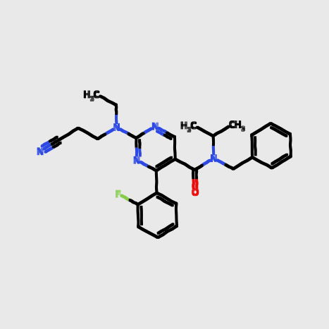 CCN(CCC#N)c1ncc(C(=O)N(Cc2ccccc2)C(C)C)c(-c2ccccc2F)n1